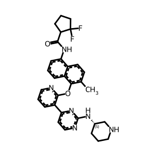 Cc1ccc2c(NC(=O)C3CCCC3(F)F)cccc2c1Oc1ncccc1-c1ccnc(N[C@H]2CCCNC2)n1